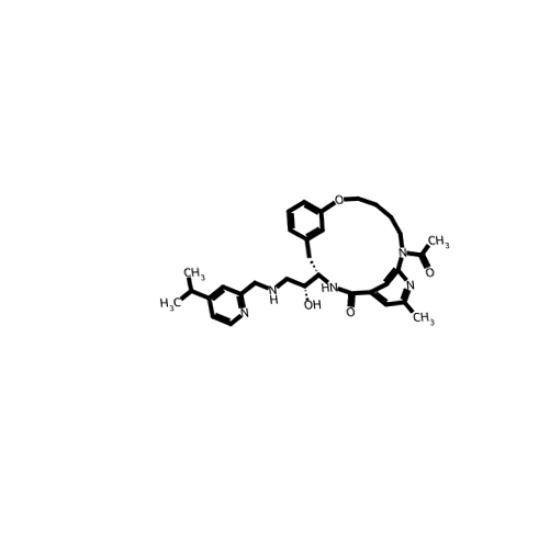 CC(=O)N1CCCCOc2cccc(c2)C[C@@H]([C@H](O)CNCc2cc(C(C)C)ccn2)NC(=O)c2cc(C)nc1c2